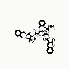 Cc1ccccc1CNC(=O)[C@H]1N(C(=O)[C@@H](O)[C@H](Cc2ccccc2)NC(=O)[C@H](CC(N)=O)NC(=O)c2cc3ccccc3oc2=O)CSC1(C)C